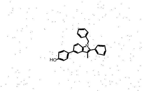 Cc1c(-c2ccccc2)n(Cc2ccccc2)c2ccc(-c3ccc(O)cc3)cc12